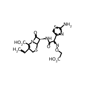 C=CC1=C(C(=O)O)N2C(=O)[C@@H](NC(=O)/C(=N\OCC(=O)O)c3csc(N)n3)C2SC1